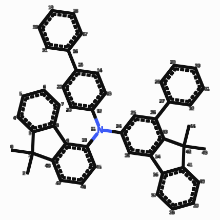 CC1(C)c2ccccc2-c2c(N(c3ccc(-c4ccccc4)cc3)c3cc(-c4ccccc4)c4c(c3)-c3ccccc3C4(C)C)cccc21